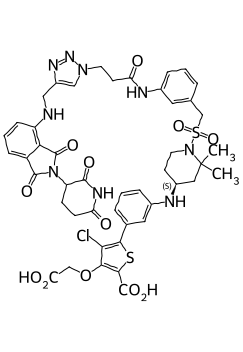 CC1(C)C[C@@H](Nc2cccc(-c3sc(C(=O)O)c(OCC(=O)O)c3Cl)c2)CCN1S(=O)(=O)Cc1cccc(NC(=O)CCn2cc(CNc3cccc4c3C(=O)N(C3CCC(=O)NC3=O)C4=O)nn2)c1